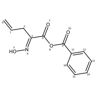 C=CCC(=NO)C(=O)OC(=O)c1ccccc1